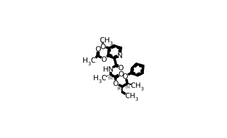 CC[C@@H](OC(=O)[C@H](C)NC(=O)c1nccc(OC)c1OC(C)=O)[C@H](C)Oc1ccccc1